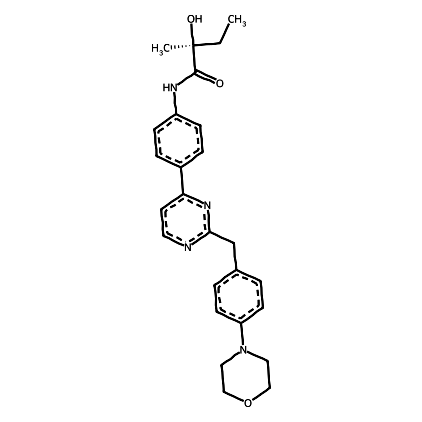 CC[C@](C)(O)C(=O)Nc1ccc(-c2ccnc(Cc3ccc(N4CCOCC4)cc3)n2)cc1